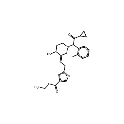 CCOC(=O)c1cnn(C/C=C2\CN(C(C(=O)C3CC3)c3ccccc3F)CCC2S)c1